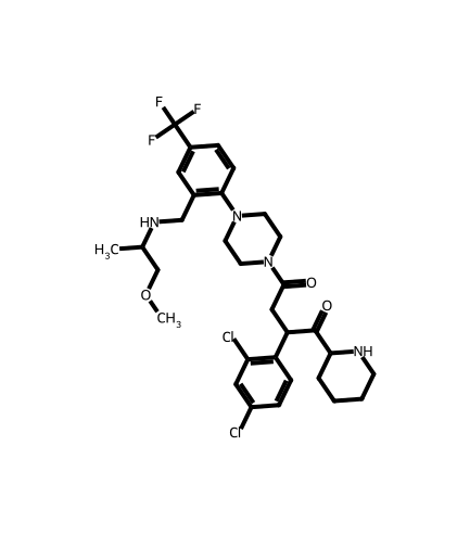 COCC(C)NCc1cc(C(F)(F)F)ccc1N1CCN(C(=O)CC(C(=O)C2CCCCN2)c2ccc(Cl)cc2Cl)CC1